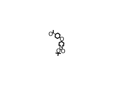 CC(=O)[C@H]1CC[C@H](OC2CCN(C(=O)OC(C)(C)C)CC2)CC1